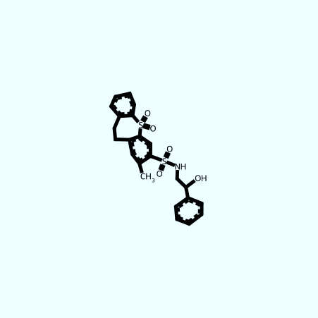 Cc1cc2c(cc1S(=O)(=O)NCC(O)c1ccccc1)S(=O)(=O)c1ccccc1CC2